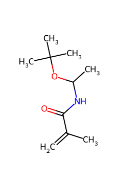 C=C(C)C(=O)NC(C)OC(C)(C)C